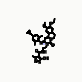 CCOc1cc2c(cc1OC)-c1c/c(=N\c3c(C)cc(C4CC4)cc3C)n(CCNC(=O)c3c(O)nnn3C)c(=O)n1CC2